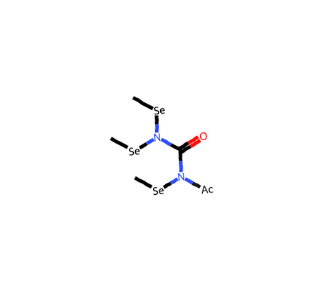 C[Se]N([Se]C)C(=O)N([Se]C)C(C)=O